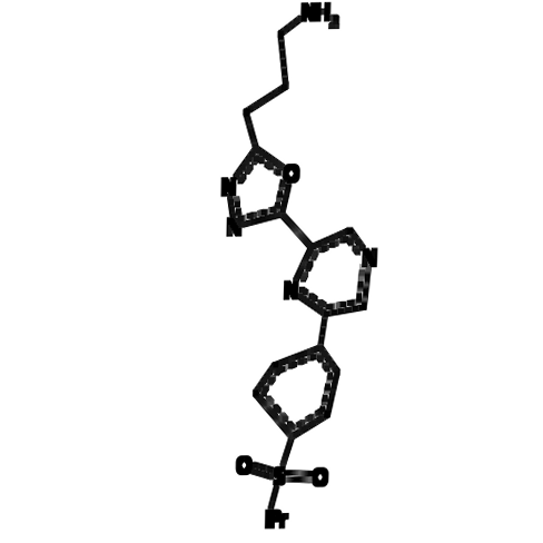 CC(C)S(=O)(=O)c1ccc(-c2cncc(-c3nnc(CCCN)o3)n2)cc1